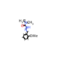 COc1ccccc1/C=N/NC(=O)N(C)C